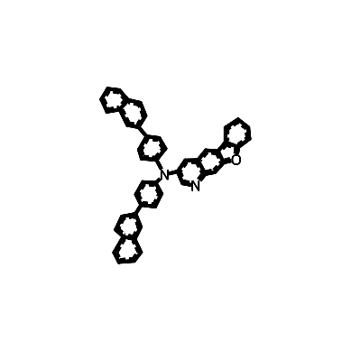 c1ccc2cc(-c3ccc(N(c4ccc(-c5ccc6ccccc6c5)cc4)c4cnc5cc6oc7ccccc7c6cc5c4)cc3)ccc2c1